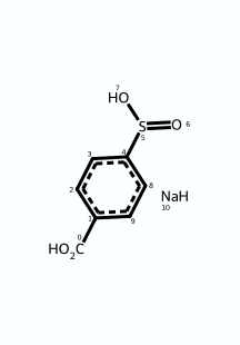 O=C(O)c1ccc(S(=O)O)cc1.[NaH]